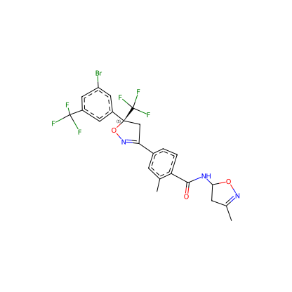 CC1=NOC(NC(=O)c2ccc(C3=NO[C@@](c4cc(Br)cc(C(F)(F)F)c4)(C(F)(F)F)C3)cc2C)C1